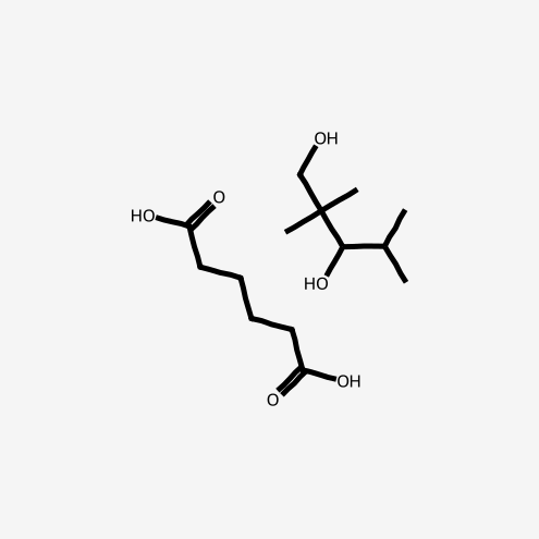 CC(C)C(O)C(C)(C)CO.O=C(O)CCCCC(=O)O